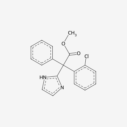 COC(=O)C(c1ccccc1)(c1ncc[nH]1)c1ccccc1Cl